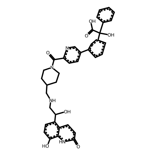 O=C(c1ccc(-c2cccc(C(O)(C(=O)O)c3ccccc3)c2)cn1)N1CCC(CNCC(O)c2ccc(O)c3[nH]c(=O)ccc23)CC1